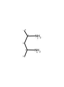 [CH2]C(N)CC([CH2])N